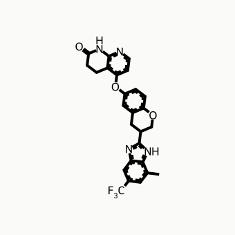 Cc1cc(C(F)(F)F)cc2nc(C3COc4ccc(Oc5ccnc6c5CCC(=O)N6)cc4C3)[nH]c12